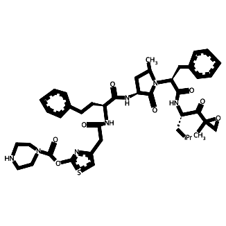 CC(C)C[C@H](NC(=O)[C@H](Cc1ccccc1)N1C(=O)[C@@H](NC(=O)[C@H](CCc2ccccc2)NC(=O)Cc2csc(OC(=O)N3CCNCC3)n2)CC1C)C(=O)C1(C)CO1